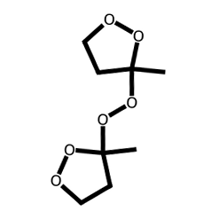 CC1(OOC2(C)CCOO2)CCOO1